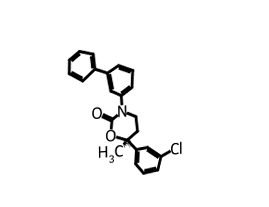 C[C@]1(c2cccc(Cl)c2)CCN(c2cccc(-c3ccccc3)c2)C(=O)O1